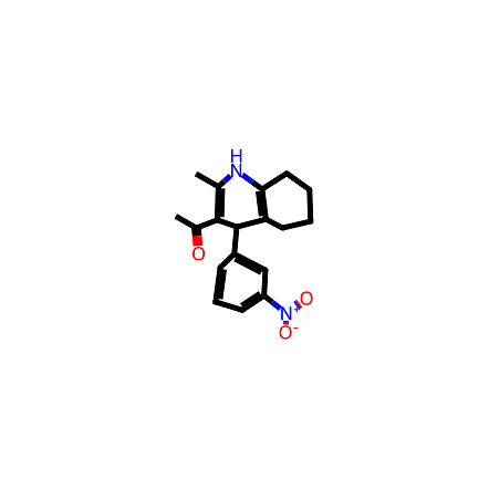 CC(=O)C1=C(C)NC2=C(CCCC2)C1c1cccc([N+](=O)[O-])c1